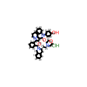 Cl.O=C(c1cc(-c2ccccc2C(=O)N2Cc3ccccc3C[C@H]2CCN2CCOCC2)n2c1CCCC2)N(c1ccccc1)c1ccc(O)cc1